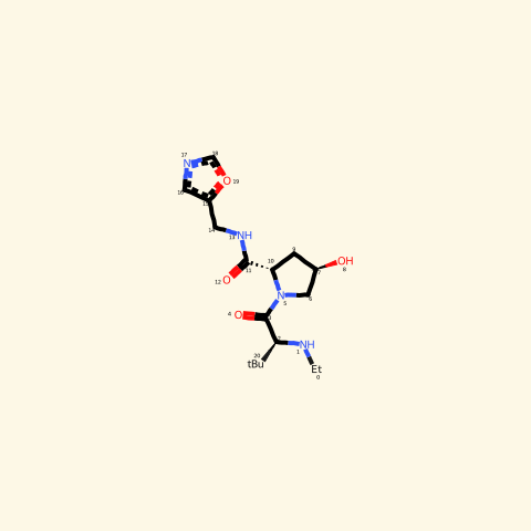 CCN[C@H](C(=O)N1C[C@H](O)C[C@H]1C(=O)NCc1cnco1)C(C)(C)C